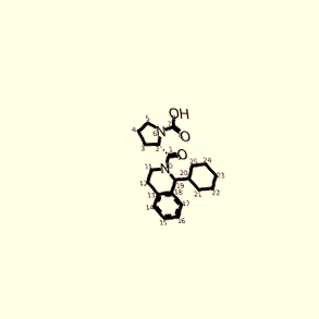 O=C([C@@H]1CCCN1C(=O)O)N1CCc2ccccc2C1C1CCCCC1